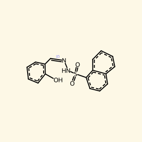 O=S(=O)(N/N=C\c1ccccc1O)c1cccc2ccccc12